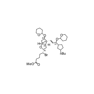 CCCCC1CCC([C@@H](C=C[C@@H]2[C@H]3C[C@H](C(Br)CCCC(=O)OC)O[C@@H]3C[C@H]2OC2CCCCO2)OC2CCCCO2)C1